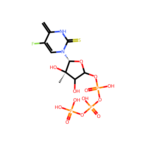 C=C1NC(=S)N([C@@H]2OC(OP(=O)(O)OP(=O)(O)OP(=O)(O)O)C(O)[C@@]2(C)O)C=C1F